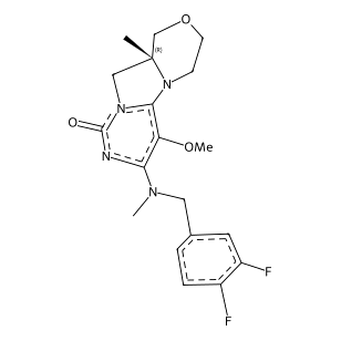 COc1c(N(C)Cc2ccc(F)c(F)c2)nc(=O)n2c1N1CCOC[C@@]1(C)C2